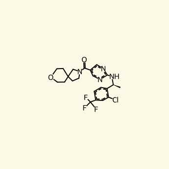 C[C@H](Nc1ncc(C(=O)N2CCC3(CCOCC3)C2)cn1)c1ccc(C(F)(F)F)cc1Cl